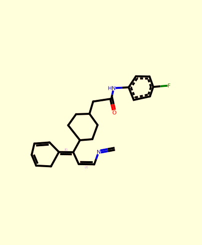 C=N/C=C\C(=C1\C=CC=CC1)C1CCC(CC(=O)Nc2ccc(F)cc2)CC1